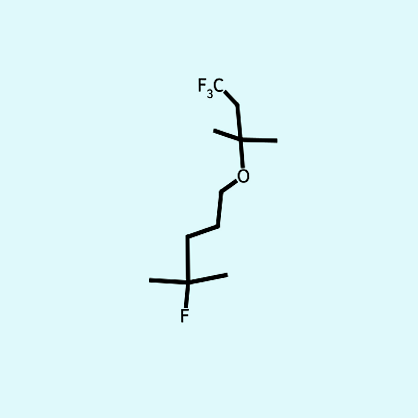 CC(C)(F)CCCOC(C)(C)CC(F)(F)F